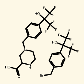 O=C(O)C1CN(Cc2ccc(C(O)(C(F)(F)F)C(F)(F)F)cc2)CCN1.OC(c1ccc(CBr)cc1)(C(F)(F)F)C(F)(F)F